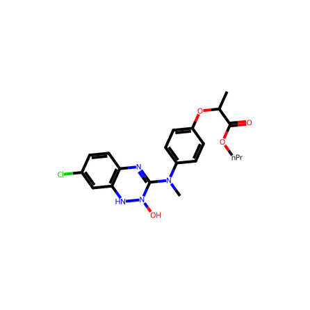 CCCOC(=O)C(C)Oc1ccc(N(C)C2=Nc3ccc(Cl)cc3NN2O)cc1